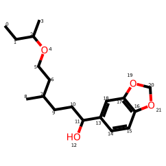 CCC(C)OCCC(C)CCC(O)c1ccc2c(c1)OCO2